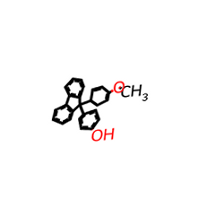 COC1=CCC(C2(c3ccc(O)cc3)c3ccccc3-c3ccccc32)C=C1